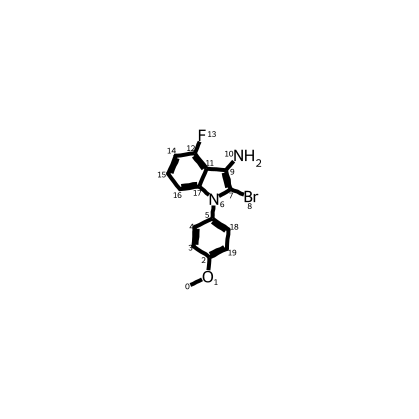 COc1ccc(-n2c(Br)c(N)c3c(F)cccc32)cc1